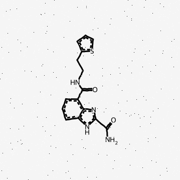 NC(=O)c1nc2c(C(=O)NCCc3cccs3)cccc2[nH]1